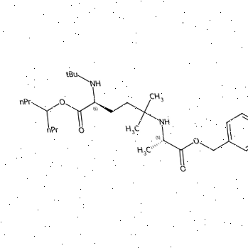 CCCC(CCC)OC(=O)[C@H](CCC(C)(C)N[C@@H](C)C(=O)OCc1ccccc1)NC(C)(C)C